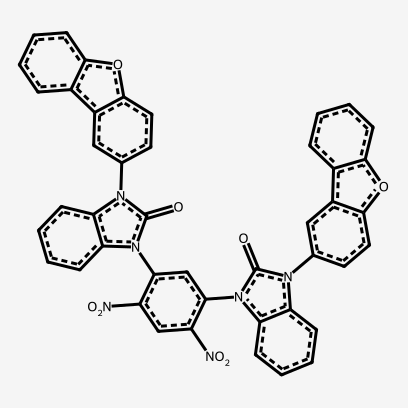 O=c1n(-c2ccc3oc4ccccc4c3c2)c2ccccc2n1-c1cc(-n2c(=O)n(-c3ccc4oc5ccccc5c4c3)c3ccccc32)c([N+](=O)[O-])cc1[N+](=O)[O-]